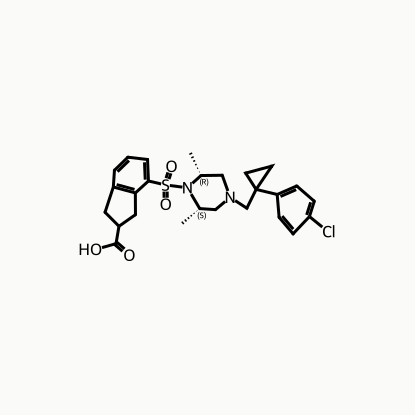 C[C@@H]1CN(CC2(c3ccc(Cl)cc3)CC2)C[C@H](C)N1S(=O)(=O)c1cccc2c1CC(C(=O)O)C2